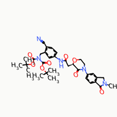 CN1Cc2cc(N3CCO[C@H](CC(=O)Nc4ccc(C#N)c(CN(C(=O)OC(C)(C)C)C(=O)OC(C)(C)C)c4)C3=O)ccc2C1=O